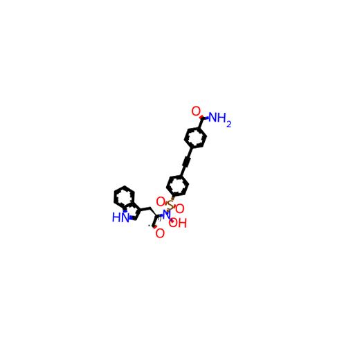 NC(=O)c1ccc(C#Cc2ccc(S(=O)(=O)N(O)[C@@H]([C]=O)Cc3c[nH]c4ccccc34)cc2)cc1